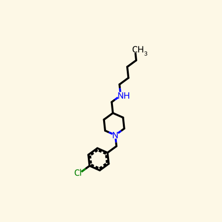 CCCCCNCC1CCN(Cc2ccc(Cl)cc2)CC1